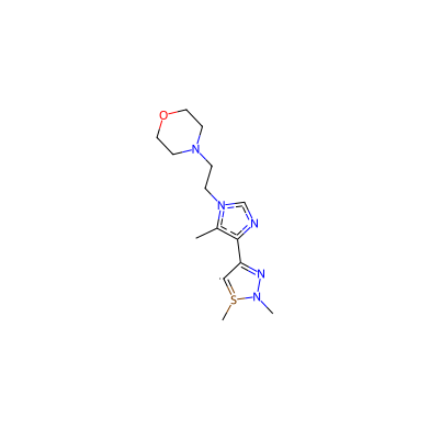 Cc1c(C2=NN(C)S(C)=[C]2)ncn1CCN1CCOCC1